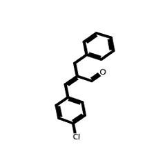 O=CC(=Cc1ccc(Cl)cc1)Cc1ccccc1